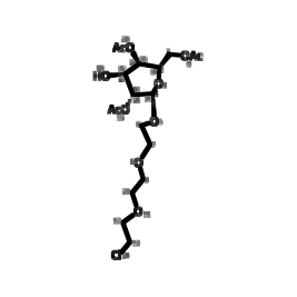 CC(=O)OC[C@H]1O[C@@H](OCCOCCOCCCl)[C@H](OC(C)=O)[C@@H](O)[C@H]1OC(C)=O